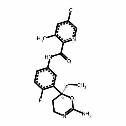 CC[C@@]1(c2cc(NC(=O)c3ncc(Cl)cc3C)ccc2F)CCN=C(N)O1